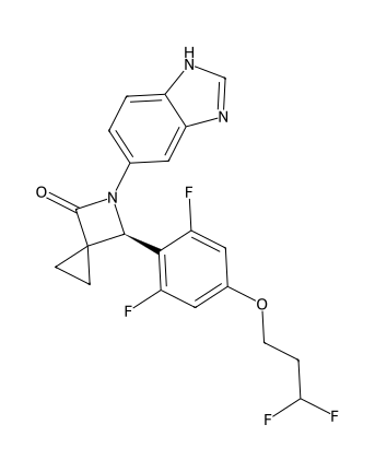 O=C1N(c2ccc3[nH]cnc3c2)[C@@H](c2c(F)cc(OCCC(F)F)cc2F)C12CC2